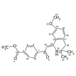 COC(=O)c1ccc(C(=O)C=C2NC(C)(C)Cc3ccc(OC)cc32)cc1